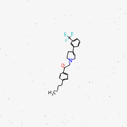 CCCCc1ccc(C(=O)CN2CC=C(c3cccc(C(F)(F)F)c3)CC2)cc1